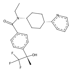 CCN(C(=O)c1ccc([C@](C)(O)C(F)(F)F)cc1)[C@H]1CC[C@@H](c2ccccn2)CC1